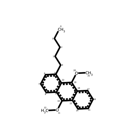 CCCCCc1cccc2c(OC)c3ccccc3c(OC)c12